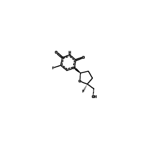 O=c1[nH]c(=O)n([C@H]2CC[C@@](F)(CO)O2)cc1F